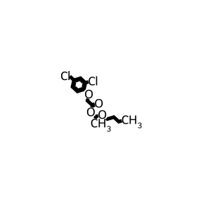 CCCCOC(C)OC(=O)COc1ccc(Cl)cc1Cl